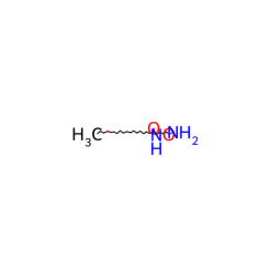 CCCCCCCCCCCCCCCCCC(=O)NCCCON